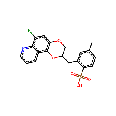 Cc1ccc(S(=O)(=O)O)c(CC2COc3cc(F)c4ncccc4c3O2)c1